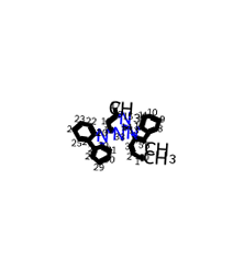 C#C/C=C\c1c(C)c2ccccc2n1-c1nc(C)cc(-n2c3ccccc3c3ccccc32)n1